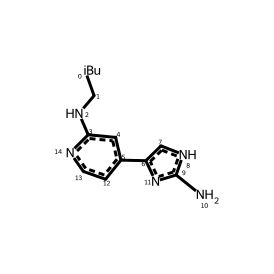 CCC(C)CNc1cc(-c2c[nH]c(N)n2)ccn1